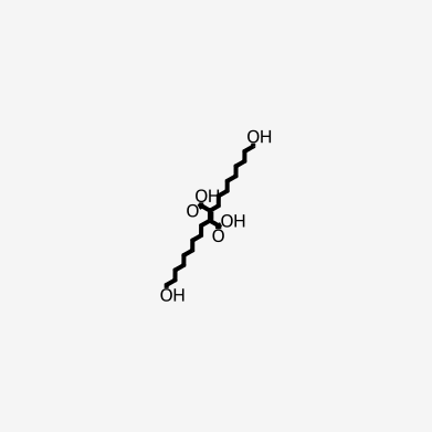 O=C(O)C(CCCCCCCCCO)=C(CCCCCCCCCO)C(=O)O